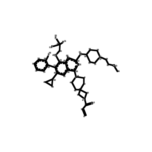 C=CC(=O)N1CC2(CCN(c3nc(OC4CCN(CCOC)CC4)nc4c(OCC(F)(F)F)c(-c5ccccc5F)c(C5CC5)cc34)CC2)C1